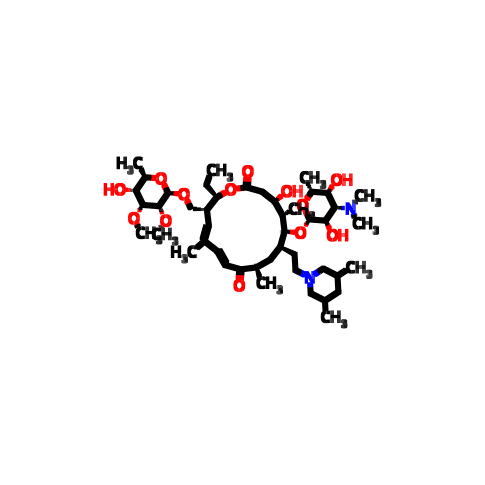 CC[C@H]1OC(=O)C[C@@H](O)[C@H](C)[C@@H](O[C@@H]2O[C@H](C)[C@@H](O)[C@H](N(C)C)[C@H]2O)[C@@H](CCN2CC(C)CC(C)C2)C[C@@H](C)C(=O)/C=C/C(C)=C/[C@@H]1CO[C@@H]1O[C@H](C)[C@@H](O)[C@@H](OC)[C@H]1OC